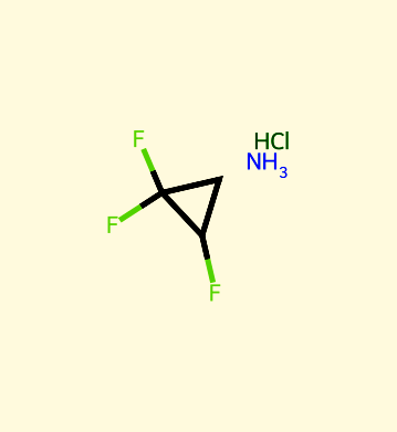 Cl.FC1CC1(F)F.N